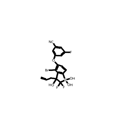 C=CCC1(O)c2c(ccc(Oc3cc(F)cc(C#N)c3)c2Br)S(O)(O)C1(F)F